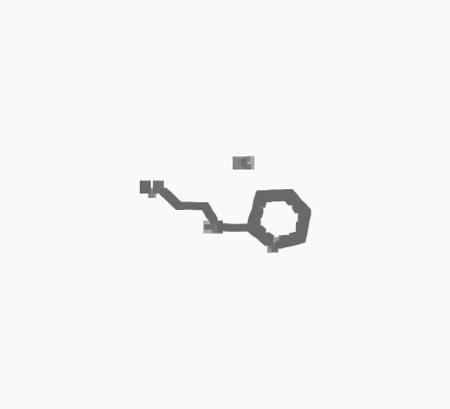 Cl.NCCNc1ccccn1